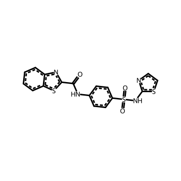 O=C(Nc1ccc(S(=O)(=O)Nc2nccs2)cc1)c1nc2ccccc2s1